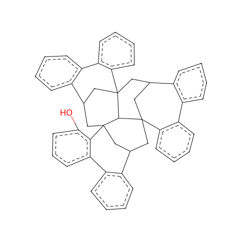 Oc1cccc2c1C13CC4CC5(CC6CC(CC(C1)c1ccccc1-2)(c1ccccc1-c1ccccc16)C53)c1ccccc1-c1ccccc14